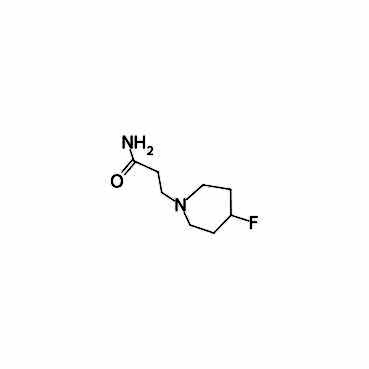 NC(=O)CCN1CCC(F)CC1